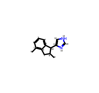 Cc1cccc2c1CC(C)C2c1c[nH]cn1